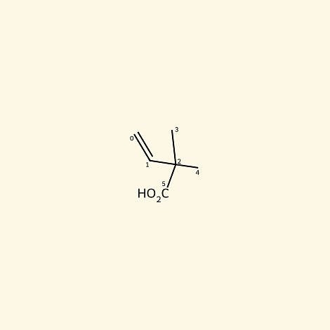 C=CC(C)(C)C(=O)O